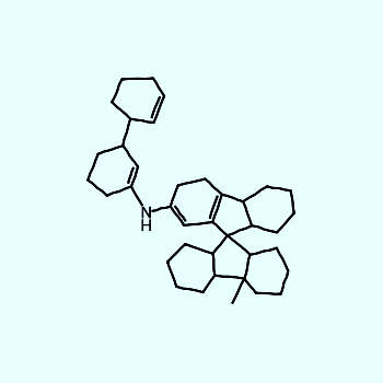 CC12CCCCC1C1(C3=C(CCC(NC4=CC(C5C=CCCC5)CCC4)=C3)C3CCCCC31)C1CCCCC12